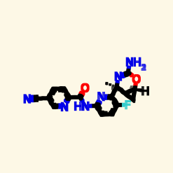 C[C@]1(c2nc(NC(=O)c3ccc(C#N)cn3)ccc2F)N=C(N)O[C@@H]2CC21